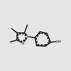 Cc1nn(-c2ccc(O)cc2)c(C)c1C